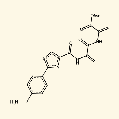 C=C(NC(=O)c1csc(-c2ccc(CN)cc2)n1)C(=O)NC(=C)C(=O)OC